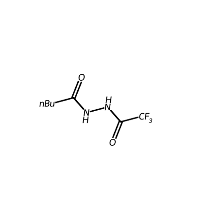 CCCCC(=O)NNC(=O)C(F)(F)F